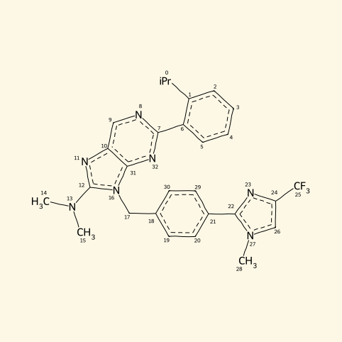 CC(C)c1ccccc1-c1ncc2nc(N(C)C)n(Cc3ccc(-c4nc(C(F)(F)F)cn4C)cc3)c2n1